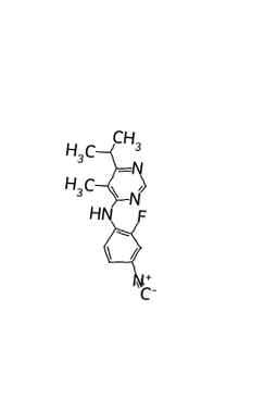 [C-]#[N+]c1ccc(Nc2ncnc(C(C)C)c2C)c(F)c1